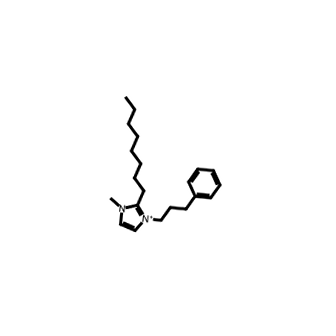 CCCCCCCCc1n(C)cc[n+]1CCCc1ccccc1